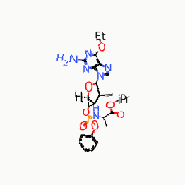 CCOc1nc(N)nc2c1ncn2[C@@H]1O[C@@H]2C(OP(=O)(N[C@H](C)C(=O)OC(C)C)Oc3ccccc3)C2[C@@H]1C